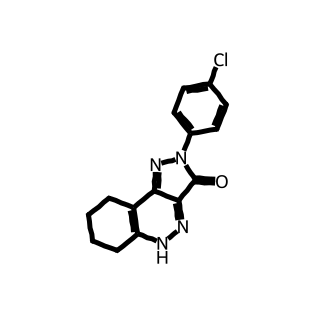 O=c1c2n[nH]c3c(c-2nn1-c1ccc(Cl)cc1)CCCC3